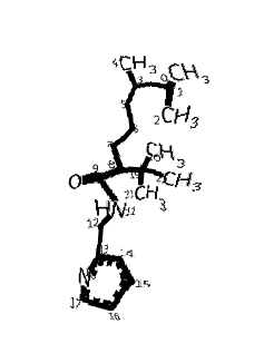 CC(C)C(C)CCCC(C(=O)NCc1ccccn1)C(C)(C)C